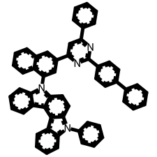 c1ccc(-c2ccc(-c3nc(-c4ccccc4)cc(-c4cc(-n5c6ccccc6c6c7c8ccccc8n(-c8ccccc8)c7ccc65)c5ccccc5c4)n3)cc2)cc1